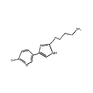 NCCCCc1nc(-c2ccc(Cl)nc2)c[nH]1